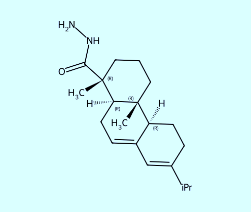 CC(C)C1=CC2=CC[C@@H]3[C@](C)(CCC[C@@]3(C)C(=O)NN)[C@H]2CC1